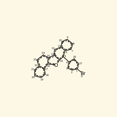 Brc1ccc(-c2c3ccccc3cc3c2oc2c4ccccc4ccc32)cc1